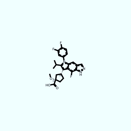 CO[C@@]1(C(=O)O)CC[C@@H](c2c(C(C)C)n(-c3ccc(F)c(F)c3)c3cc4cn[nH]c4c(F)c23)C1